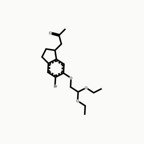 CCOC(COc1cc2c(cc1Br)CCC2CC(C)=O)OCC